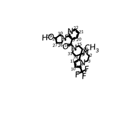 CN1CCn2c(C(F)(F)F)ccc2C12CCN(C(=O)c1cccnc1N1CCC(O)C1)CC2